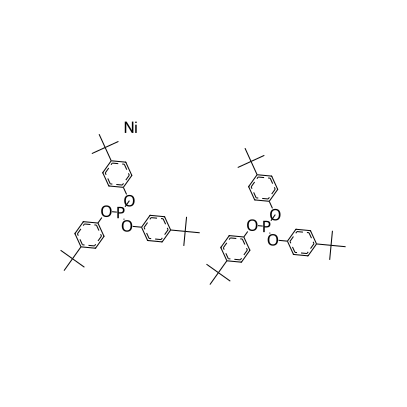 CC(C)(C)c1ccc(OP(Oc2ccc(C(C)(C)C)cc2)Oc2ccc(C(C)(C)C)cc2)cc1.CC(C)(C)c1ccc(OP(Oc2ccc(C(C)(C)C)cc2)Oc2ccc(C(C)(C)C)cc2)cc1.[Ni]